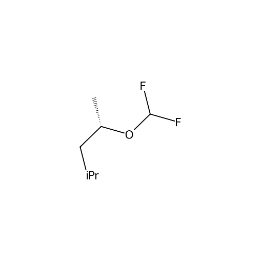 CC(C)C[C@H](C)OC(F)F